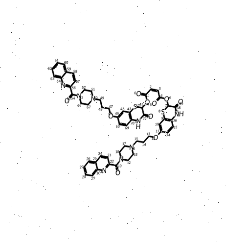 O=C(/C=C\C(=O)OC1Sc2cc(OCCCN3CCN(C(=O)c4ccc5ccccc5n4)CC3)ccc2NC1=O)OC1Sc2cc(OCCCN3CCN(C(=O)c4ccc5ccccc5n4)CC3)ccc2NC1=O